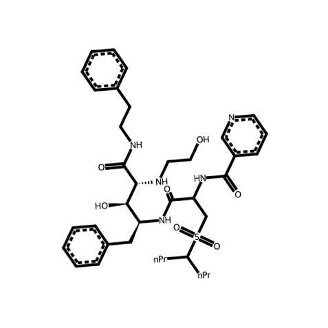 CCCC(CCC)S(=O)(=O)CC(NC(=O)c1cccnc1)C(=O)N[C@@H](Cc1ccccc1)[C@@H](O)[C@@H](NCCO)C(=O)NCCc1ccccc1